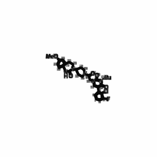 CC[C@@H](C)n1c(=O)c(-c2cccc(F)c2Cl)cn(CC(=O)N2CCC(N3CCc4cc(OC)ccc4NC3=O)CC2)c1=O